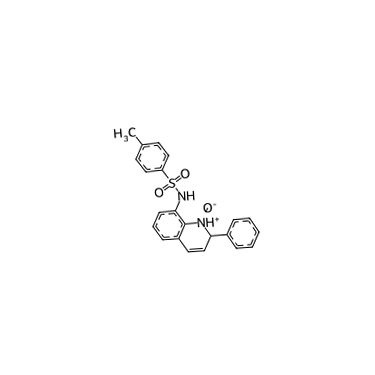 Cc1ccc(S(=O)(=O)Nc2cccc3c2[NH+]([O-])C(c2ccccc2)C=C3)cc1